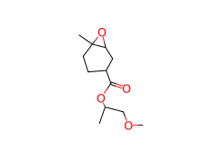 COCC(C)OC(=O)C1CCC2(C)OC2C1